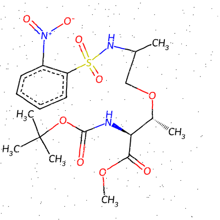 COC(=O)[C@@H](NC(=O)OC(C)(C)C)[C@@H](C)OCC(C)NS(=O)(=O)c1ccccc1[N+](=O)[O-]